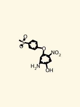 CS(=O)(=O)c1ccc(Oc2cc(N)c(O)cc2[N+](=O)[O-])cc1